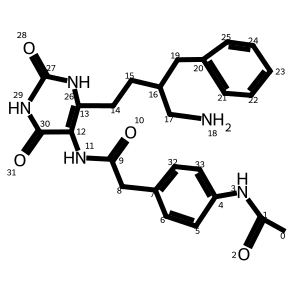 CC(=O)Nc1ccc(CC(=O)Nc2c(CCC(CN)Cc3ccccc3)[nH]c(=O)[nH]c2=O)cc1